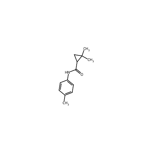 Cc1ccc(NC(=O)C2CC2(C)C)cc1